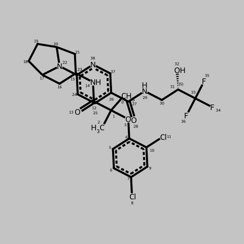 CC(C)(Oc1ccc(Cl)cc1Cl)C(=O)NC1CC2CCC(C1)N2c1ccc(C(=O)NC[C@H](O)C(F)(F)F)cn1